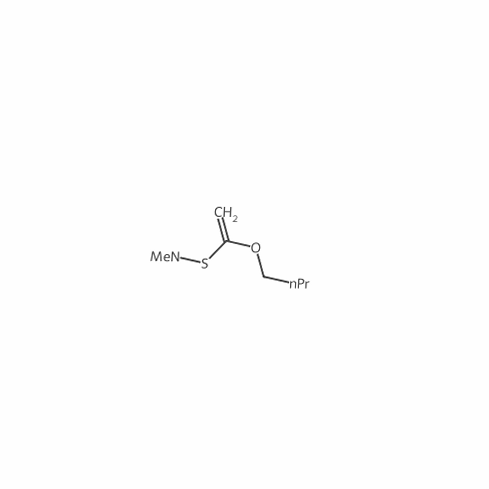 C=C(OCCCC)SNC